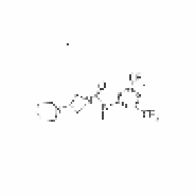 O=C(Nc1cc(C(F)(F)F)cc(C(F)(F)F)c1)N1CC(N2CCCCC2)C1